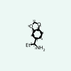 CCC(N)c1ccc2c(c1)OCO2